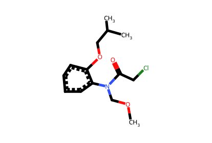 COCN(C(=O)CCl)c1ccccc1OCC(C)C